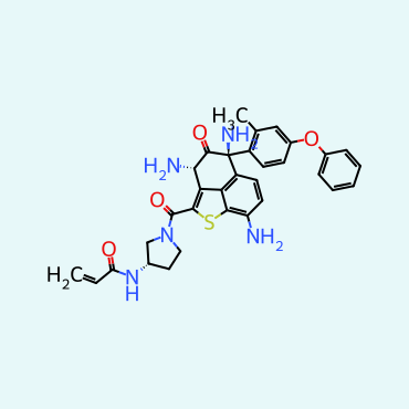 C=CC(=O)N[C@H]1CCN(C(=O)c2sc3c(N)ccc4c3c2[C@H](N)C(=O)[C@]4(N)c2ccc(Oc3ccccc3)cc2C)C1